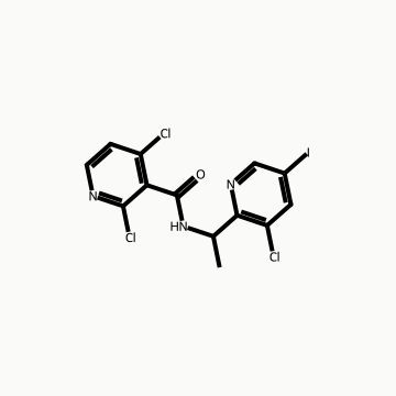 CC(NC(=O)c1c(Cl)ccnc1Cl)c1ncc(I)cc1Cl